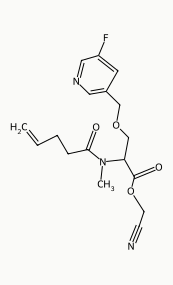 C=CCCC(=O)N(C)C(COCc1cncc(F)c1)C(=O)OCC#N